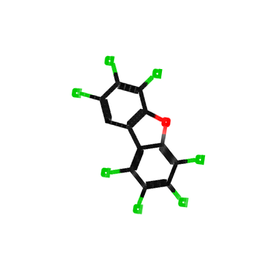 Clc1cc2c(oc3c(Cl)c(Cl)c(Cl)c(Cl)c32)c(Cl)c1Cl